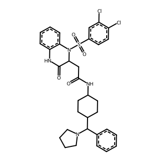 O=C(CC1C(=O)Nc2ccccc2N1S(=O)(=O)c1ccc(Cl)c(Cl)c1)NC1CCC(C(c2ccccc2)N2CCCC2)CC1